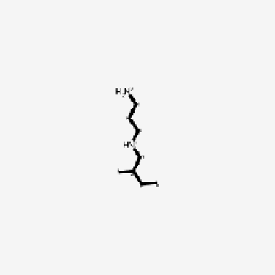 CCC(C)CNCCCN